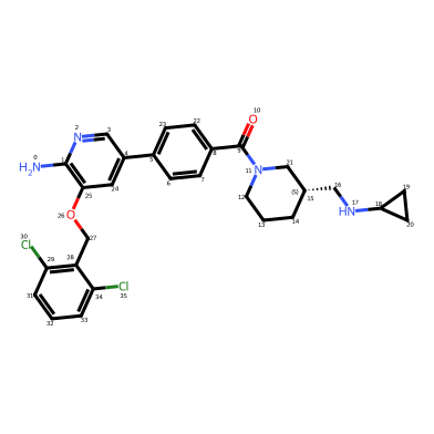 Nc1ncc(-c2ccc(C(=O)N3CCC[C@@H](CNC4CC4)C3)cc2)cc1OCc1c(Cl)cccc1Cl